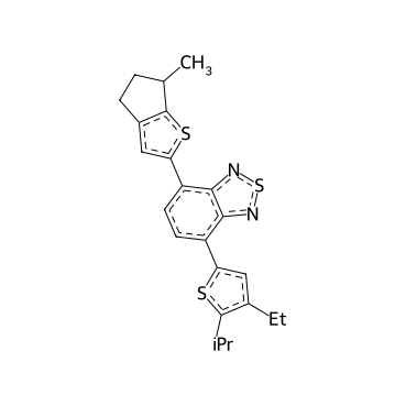 CCc1cc(-c2ccc(-c3cc4c(s3)C(C)CC4)c3nsnc23)sc1C(C)C